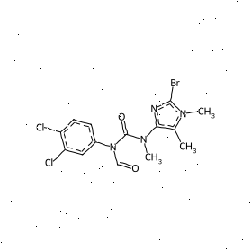 Cc1c(N(C)C(=O)N(C=O)c2ccc(Cl)c(Cl)c2)nc(Br)n1C